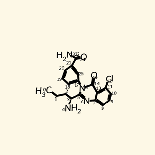 CCC[C@H](N)c1nc2cccc(Cl)c2c(=O)n1-c1cccc(C(N)=O)c1